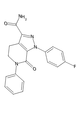 NC(=O)c1nn(-c2ccc(F)cc2)c2c1CCN(c1ccccc1)C2=O